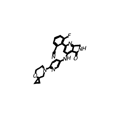 N#Cc1cccc(F)c1-c1cc(Nc2ccc(N3CCOC4(CC4)C3)nc2)c2c(n1)CNC2=O